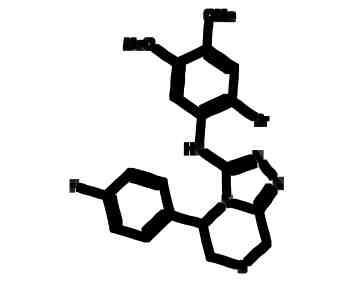 COc1cc(Br)c(Nc2nnc3n2C(c2ccc(F)cc2)CSC3)cc1OC